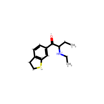 CCNC(CC)C(=O)c1ccc2c(c1)SCC2